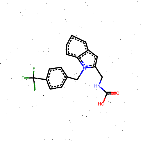 O=C(O)NCc1cc2ccccc2n1Cc1ccc(C(F)(F)F)cc1